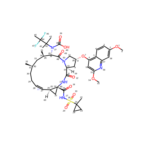 COc1ccc2c(O[C@@H]3C[C@H]4C(=O)N[C@]5(C(=O)NS(=O)(=O)C6(C)CC6)C[C@H]5/C=C\CC[C@@H](C)C[C@@H](C)[C@H](N(C(=O)O)C(C)(C)C(C)(F)F)C(=O)N4C3)cc(OC)nc2c1